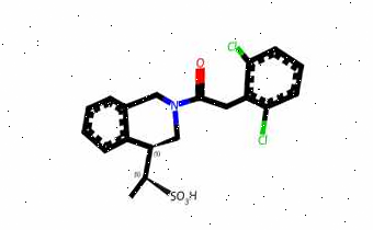 C[C@@H]([C@@H]1CN(C(=O)Cc2c(Cl)cccc2Cl)Cc2ccccc21)S(=O)(=O)O